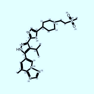 Cc1cc(-c2[nH]nc(-c3ncc(C4CCN(CCS(C)(=O)=O)CC4)s3)c2C(C)C)cn2ncnc12